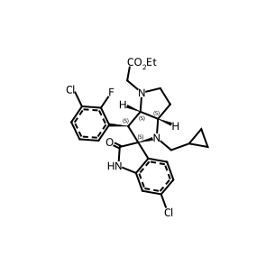 CCOC(=O)CN1CC[C@H]2[C@@H]1[C@H](c1cccc(Cl)c1F)[C@]1(C(=O)Nc3cc(Cl)ccc31)N2CC1CC1